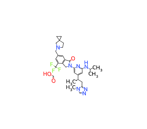 CC(C)Nc1cc([C@H](C)Cc2nncn2C)cc(N2Cc3c(cc(CN4CCC5(CC5)C4)cc3C(F)(F)F)C2=O)n1.O=CO